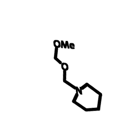 COCOCN1CCCCC1